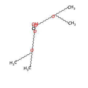 CCCCCCCCCCCCC(CCCCCCCCCC)COCCCCCCCCCCCCOc1ccc(CO)c(OCCCCCCCCCCCCOCC(CCCCCCCCCC)CCCCCCCCCCCC)c1